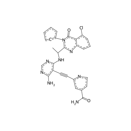 CC(Nc1ncnc(N)c1C#Cc1cc(C(N)=O)ccn1)c1nc2cccc(Cl)c2c(=O)n1-c1ccccc1